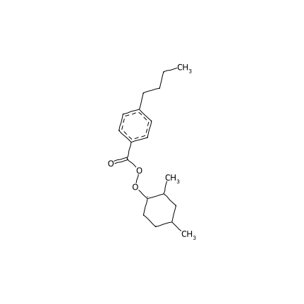 CCCCc1ccc(C(=O)OO[C]2CCC(C)CC2C)cc1